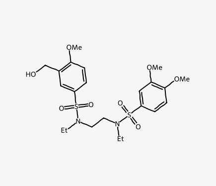 CCN(CCN(CC)S(=O)(=O)c1ccc(OC)c(OC)c1)S(=O)(=O)c1ccc(OC)c(CO)c1